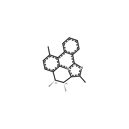 Cc1nc2c3ccccc3c3c(C)ccc4c3n2c1[C@H](C)[C@@H]4C